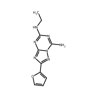 CCNc1nc(N)n2nc(-c3ccco3)nc2n1